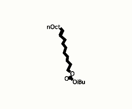 CCCCCCCCC=CCCCCCCCCOC(=O)OCC(C)C